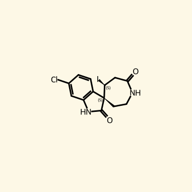 O=C1C[C@H](I)[C@]2(CCN1)C(=O)Nc1cc(Cl)ccc12